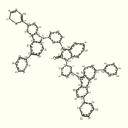 O=c1n(-c2cccc(-n3c4ccc(C5=CC=CCC5)cc4c4cc(-c5ccccc5)ccc43)c2)c2ccccc2n1-c1cccc(-n2c3ccc(-c4ccccc4)cc3c3cc(-c4ccccc4)ccc32)c1